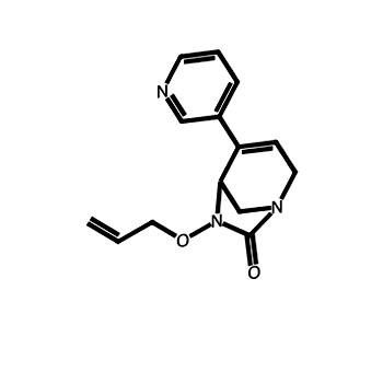 C=CCON1C(=O)N2CC=C(c3cccnc3)C1C2